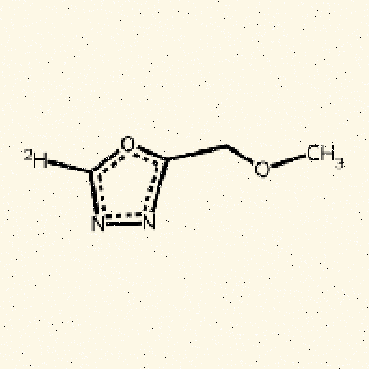 [2H]c1nnc(COC)o1